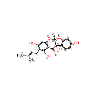 CC(C)=CCc1c(O)cc2c(c1O)C(=O)[C@@]1(O)c3ccc(O)cc3O[C@H]1O2